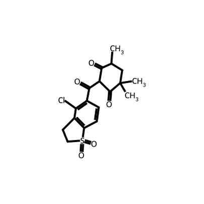 CC1CC(C)(C)C(=O)C(C(=O)c2ccc3c(c2Cl)CCS3(=O)=O)C1=O